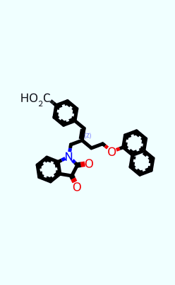 O=C(O)c1ccc(/C=C(/CCOc2cccc3ccccc23)CN2C(=O)C(=O)c3ccccc32)cc1